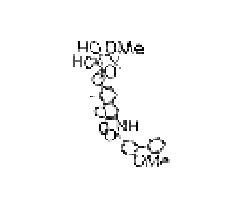 COc1ccc(C(=O)Nc2cc3ccc(O[C@@H]4OC(C)(C)[C@H](OC)C(O)[C@@H]4O)c(C)c3oc2=O)cc1-c1ccccc1